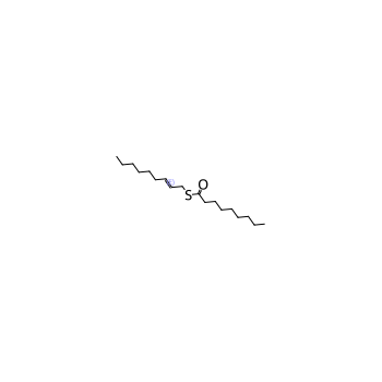 CCCCCC/C=C/CSC(=O)CCCCCCCC